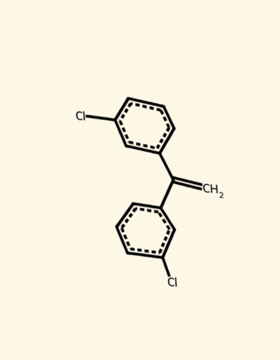 C=C(c1cccc(Cl)c1)c1cccc(Cl)c1